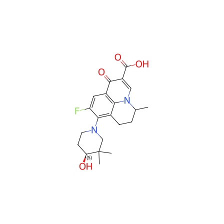 CC1CCc2c(N3CC[C@H](O)C(C)(C)C3)c(F)cc3c(=O)c(C(=O)O)cn1c23